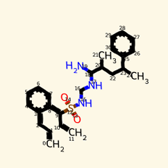 C=C/C=c1/cccc/c1=C(/C=C)S(=O)(=O)NCNC(N)C(C)CC(C)c1ccccc1